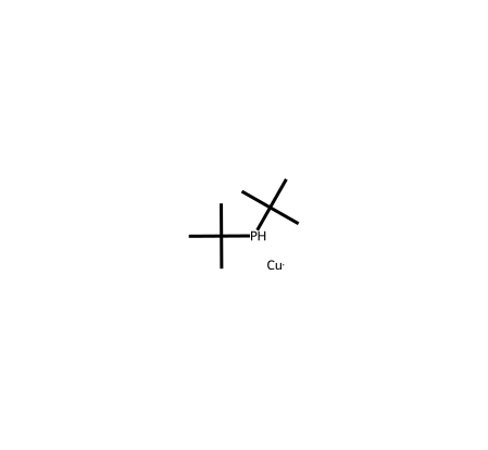 CC(C)(C)PC(C)(C)C.[Cu]